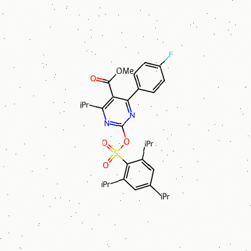 COC(=O)c1c(-c2ccc(F)cc2)nc(OS(=O)(=O)c2c(C(C)C)cc(C(C)C)cc2C(C)C)nc1C(C)C